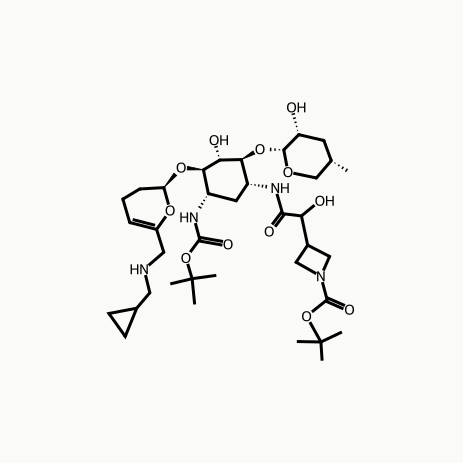 C[C@@H]1CO[C@H](O[C@@H]2[C@@H](O)[C@H](O[C@@H]3CCC=C(CNCC4CC4)O3)[C@@H](NC(=O)OC(C)(C)C)C[C@H]2NC(=O)C(O)C2CN(C(=O)OC(C)(C)C)C2)[C@H](O)C1